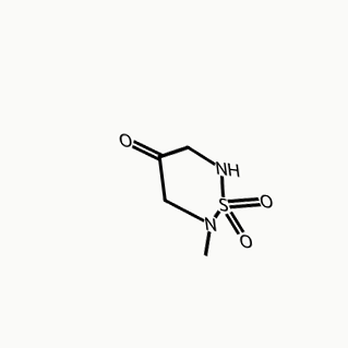 CN1CC(=O)CNS1(=O)=O